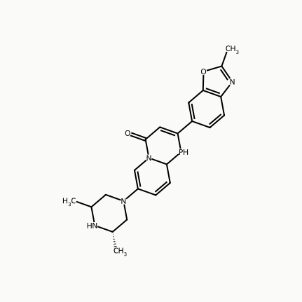 Cc1nc2ccc(C3=CC(=O)N4C=C(N5CC(C)N[C@@H](C)C5)C=CC4P3)cc2o1